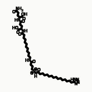 NC(=O)CCC(NC(=O)CCC(NC(=O)CCCCCCCCCCCNC(=O)CCCS(=O)(=O)NC(=O)CCCCCCCCCCCCCCCc1nnn[nH]1)C(=O)O)C(=O)O